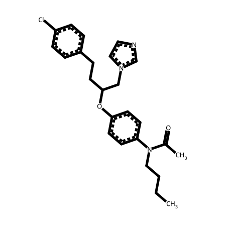 CCCCN(C(C)=O)c1ccc(OC(CCc2ccc(Cl)cc2)Cn2ccnc2)cc1